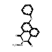 CNN1C(=O)c2cccc3c(Oc4ccccc4)ccc(c23)C1=O